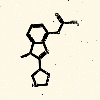 Cn1c(C2CCNC2)nc2c(OC(N)=O)cccc21